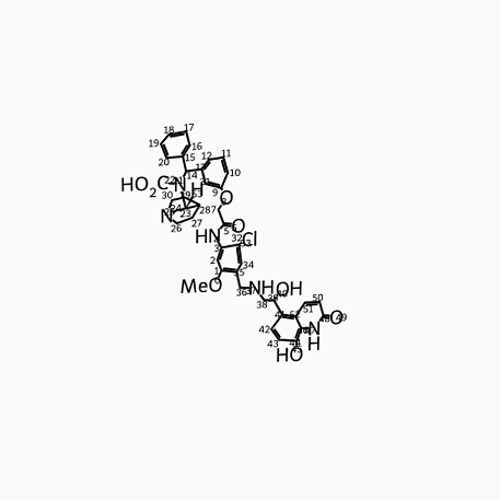 COc1cc(NC(=O)COc2cccc(C(c3ccccc3)N(C(=O)O)[C@H]3CN4CCC3CC4)c2)c(Cl)cc1CNC[C@@H](O)c1ccc(O)c2[nH]c(=O)ccc12